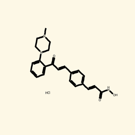 CN1CCN(c2ccccc2C(=O)/C=C/c2ccc(/C=C/C(=O)NO)cc2)CC1.Cl